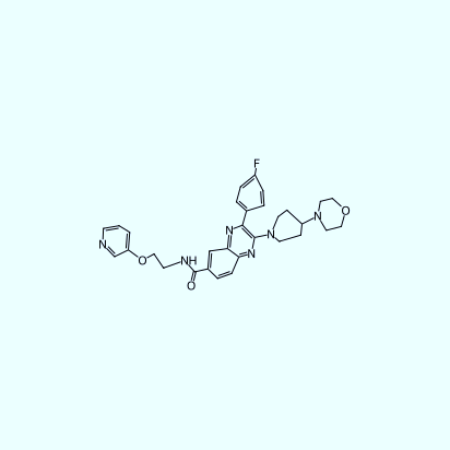 O=C(NCCOc1cccnc1)c1ccc2nc(N3CCC(N4CCOCC4)CC3)c(-c3ccc(F)cc3)nc2c1